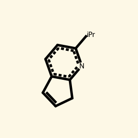 CC(C)c1ccc2c(n1)CC=C2